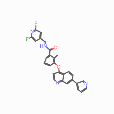 Cc1c(Oc2ccnc3cc(-c4cccnc4)ccc23)cccc1C(=O)NCc1cc(F)nc(F)c1